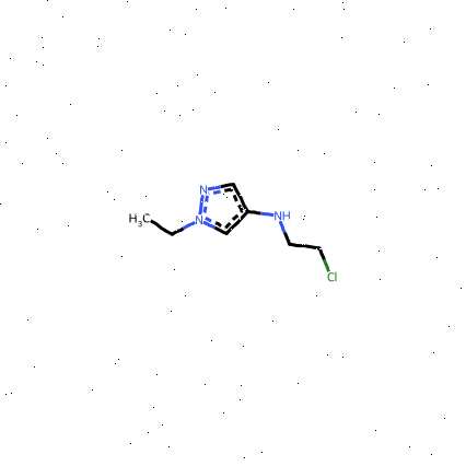 CCn1cc(NCCCl)cn1